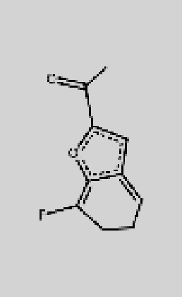 CC(=O)c1cc2c(o1)=C(F)CCC=2